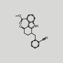 COC(=O)c1cccc2[nH]c3c(c12)C(=O)CCC3Cc1ccccc1C#N